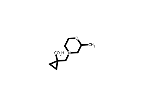 CC1CN(CC2(C(=O)O)CC2)CCO1